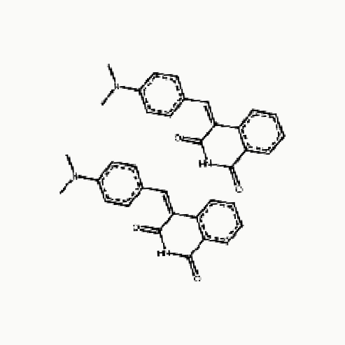 CN(C)c1ccc(C=C2C(=O)NC(=O)c3ccccc32)cc1.CN(C)c1ccc(C=C2C(=O)NC(=O)c3ccccc32)cc1